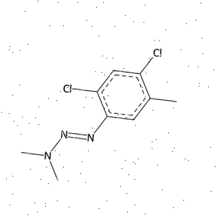 Cc1cc(N=NN(C)C)c(Cl)cc1Cl